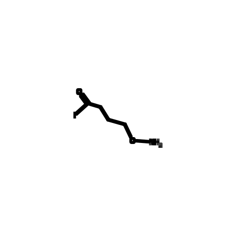 NOCCCC(=O)I